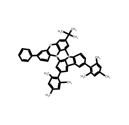 Cc1cc(C)c(-c2ccc3c(c2)c2cc(-c4c(C)cc(C)cc4C)cc4c2n3-c2cc(C(C)(C)C)cc3c2B4c2ccc(-c4ccccc4)cc2O3)c(C)c1